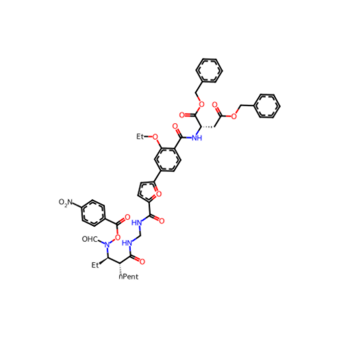 CCCCC[C@@H](C(=O)NCNC(=O)c1ccc(-c2ccc(C(=O)N[C@@H](CC(=O)OCc3ccccc3)C(=O)OCc3ccccc3)c(OCC)c2)o1)[C@@H](CC)N(C=O)OC(=O)c1ccc([N+](=O)[O-])cc1